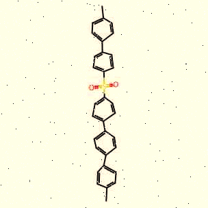 Cc1ccc(-c2ccc(-c3ccc(S(=O)(=O)c4ccc(-c5ccc(C)cc5)cc4)cc3)cc2)cc1